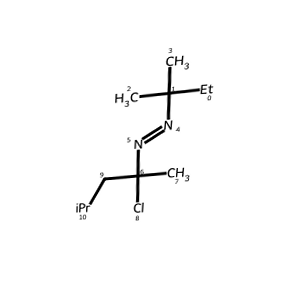 CCC(C)(C)N=NC(C)(Cl)CC(C)C